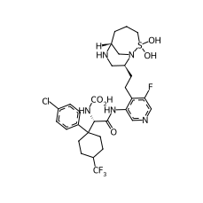 O=C(O)N[C@H](C(=O)Nc1cncc(F)c1CC[C@H]1CN[C@@H]2CCCS(O)(O)N1C2)C1(c2ccc(Cl)cc2)CCC(C(F)(F)F)CC1